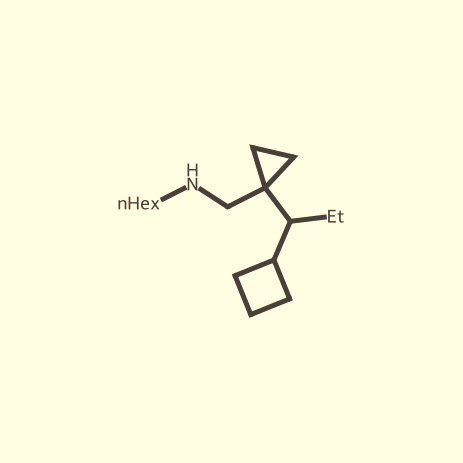 CCCCCCNCC1(C(CC)C2CCC2)CC1